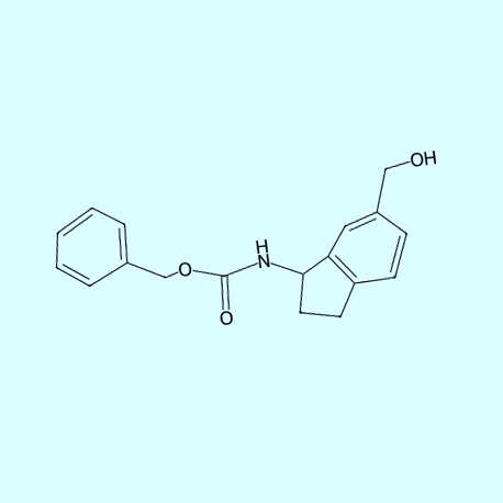 O=C(NC1CCc2ccc(CO)cc21)OCc1ccccc1